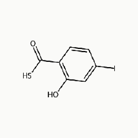 O=C(S)c1ccc(I)cc1O